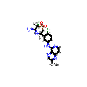 COc1cnc2c(Nc3ccc(F)c([C@]4(C)CS(=O)(=O)[C@@](C)(F)C(N)=N4)c3)nccc2n1